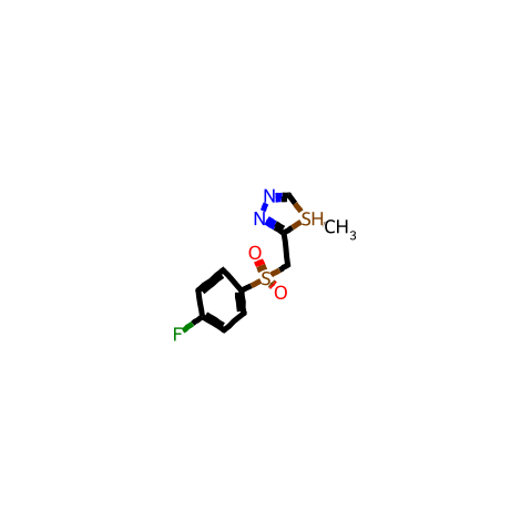 C[SH]1C=NN=C1CS(=O)(=O)c1ccc(F)cc1